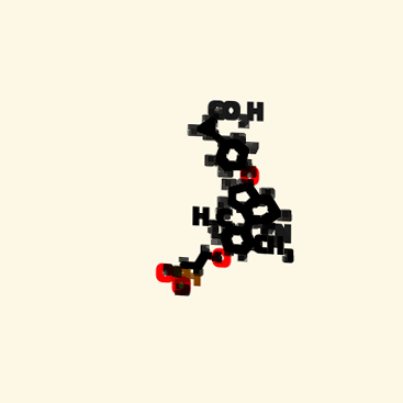 Cc1cc(OCCC[SH](=O)=O)cc(C)c1-c1c(C#N)ccc2c1CC[C@H]2Oc1ccc([C@H]2C[C@@H]2C(=O)O)cc1